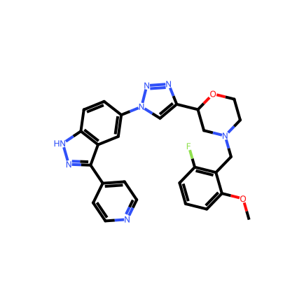 COc1cccc(F)c1CN1CCOC(c2cn(-c3ccc4[nH]nc(-c5ccncc5)c4c3)nn2)C1